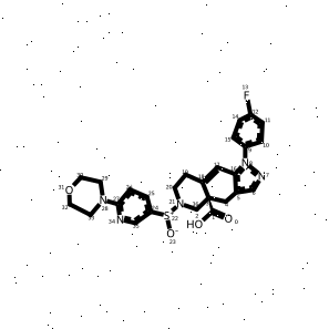 O=C(O)[C@]12Cc3cnn(-c4ccc(F)cc4)c3C=C1CCN([S+]([O-])c1ccc(N3CCOCC3)nc1)C2